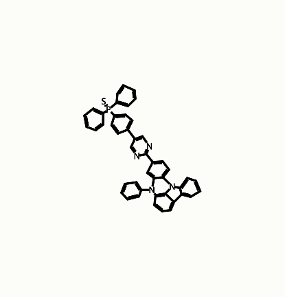 S=P(c1ccccc1)(c1ccccc1)c1ccc(-c2cnc(-c3ccc4c(c3)N(c3ccccc3)c3cccc5c6ccccc6n-4c35)nc2)cc1